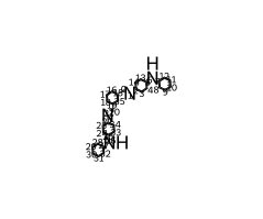 C(=N\c1ccc(Nc2ccccc2)cc1)/c1cccc(/C=N/c2ccc(Nc3ccccc3)cc2)c1